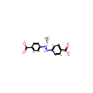 O=C([O-])c1ccc(/N=N/c2ccc(C(=O)[O-])cc2)cc1.[K+].[K+]